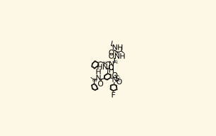 CCNC(=O)[C@@H](NC(=O)[C@H](C)NC[C@H](Cc1ccccc1)NC(=O)c1cc(C(=O)N[C@H](C)c2ccccc2)cc(N(c2ccc(F)cc2)S(C)(=O)=O)c1)C(C)C